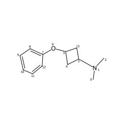 CN(C)C1CC(Oc2ccccc2)C1